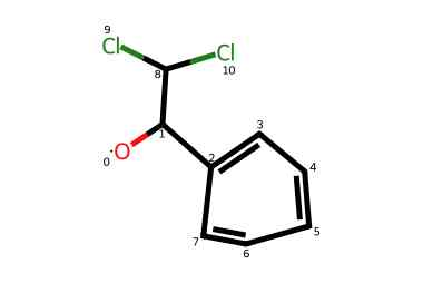 [O]C(c1ccccc1)C(Cl)Cl